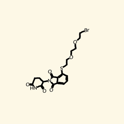 O=C1CCC(N2C(=O)c3cccc(SCCOCCOCCBr)c3C2=O)C(=O)N1